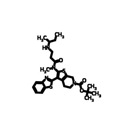 CCC(C)NCCC(=O)N(C)c1sc2c(c1-c1nc3ccccc3s1)CCN(C(=O)OC(C)(C)C)C2